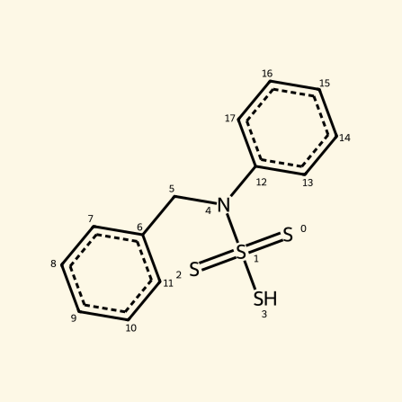 S=S(=S)(S)N(Cc1ccccc1)c1ccccc1